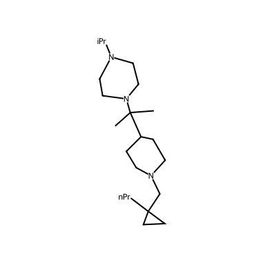 CCCC1(CN2CCC(C(C)(C)N3CCN(C(C)C)CC3)CC2)CC1